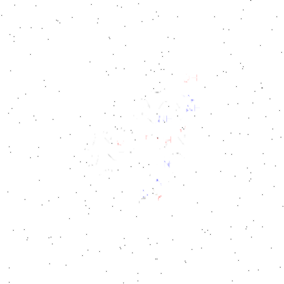 CCOC(O)c1[nH]c2c(-c3c(CO)n[nH]c3COc3ccc(N4CCN([S+]([O-])NC)CC4)cc3)cccc2c1CCCOc1cccc2ccccc12